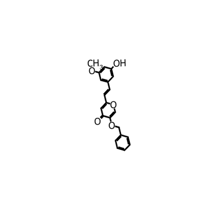 COc1cc(O)cc(/C=C/c2cc(=O)c(OCc3ccccc3)co2)c1